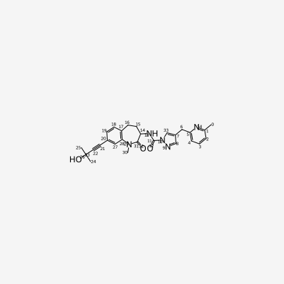 Cc1cccc(Cc2cnn(C(=O)NC3CCc4ccc(C#CC(C)(C)O)cc4N(C)C3=O)c2)n1